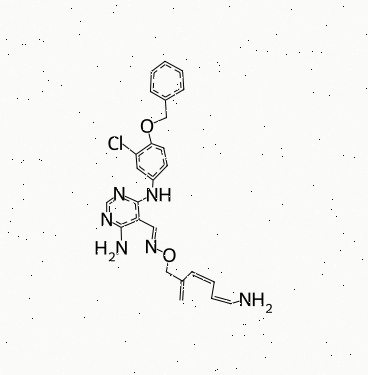 C=C(/C=C\C=C/N)CO/N=C/c1c(N)ncnc1Nc1ccc(OCc2ccccc2)c(Cl)c1